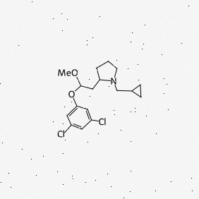 COC(CC1CCCN1CC1CC1)Oc1cc(Cl)cc(Cl)c1